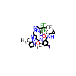 Cc1cccnc1-n1nc(Cn2ncc(C(F)(F)C(F)(F)C(F)(F)F)n2)cc1C(=O)Nc1c(C)cc(I)cc1C(=O)NC(C)C1CC1